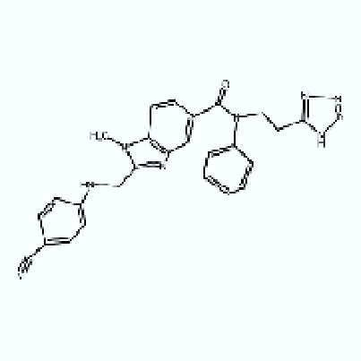 Cn1c(CNc2ccc(C#N)cc2)nc2cc(C(=O)N(CCc3nnn[nH]3)c3ccccc3)ccc21